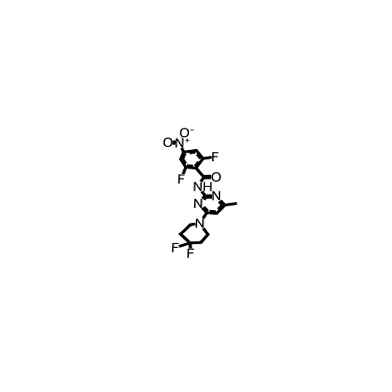 Cc1cc(N2CCC(F)(F)CC2)nc(NC(=O)c2c(F)cc([N+](=O)[O-])cc2F)n1